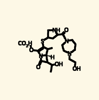 CC(O)C1C(=O)N2C(OC(=O)O)=C(SC3CNC(C(=O)N4CCCN(CCO)CC4)C3)C(C)[C@@H]12